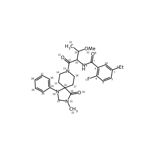 CCc1ccc(F)c(C(=O)NC(C(=O)N2CCC3(CC2)C(=O)N(C)CN3c2ccccc2)C(C)OC)c1